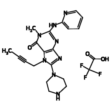 CC#CCn1c(N2CCNCC2)nc2nc(Nc3ccccn3)n(C)c(=O)c21.O=C(O)C(F)(F)F